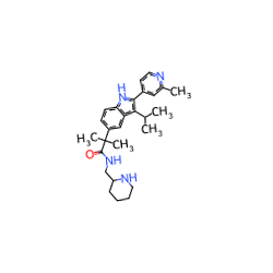 Cc1cc(-c2[nH]c3ccc(C(C)(C)C(=O)NCC4CCCCN4)cc3c2C(C)C)ccn1